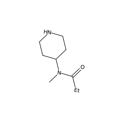 CCC(=O)N(C)C1CCNCC1